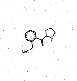 C=C(c1ccccc1COC)C1CCCN1